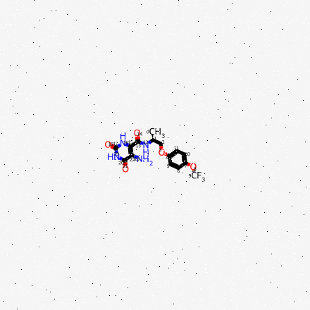 C[C@H](COc1ccc(OC(F)(F)F)cc1)NC(=O)c1[nH]c(=O)[nH]c(=O)c1N